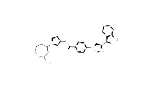 CC(C)(C)C1CC(n2ccc(NC(=O)c3ccc(-n4cc(-c5n[nH]c6ccccc56)nn4)cc3)c2)CCCN1C(=O)O